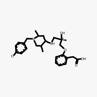 CC1CN(Cc2ccc(Cl)cc2)C(C)CC1NC[C@](C)(O)COc1ccccc1CC(=O)O